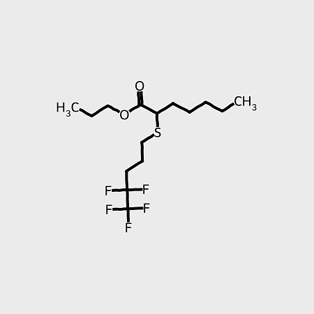 CCCCCC(SCCCC(F)(F)C(F)(F)F)C(=O)OCCC